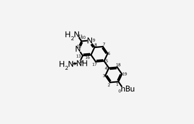 CCCCc1ccc(-c2ccc3nc(N)nc(NN)c3c2)cc1